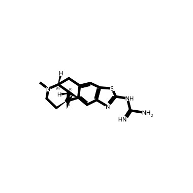 CN1CC[C@]23CCCC[C@H]2[C@H]1Cc1cc2sc(NC(=N)N)nc2cc13